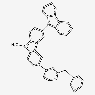 Cn1c2ccc(-c3cccc(Cc4ccccc4)c3)cc2c2cc(-n3c4ccccc4c4ccccc43)ccc21